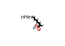 CCCCCCCCCCC=C(C)C(=O)OF